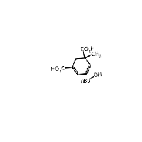 CC1(C(=O)O)C=CC=C(C(=O)O)C1.CCCCO